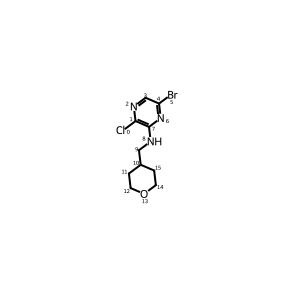 Clc1ncc(Br)nc1NCC1CCOCC1